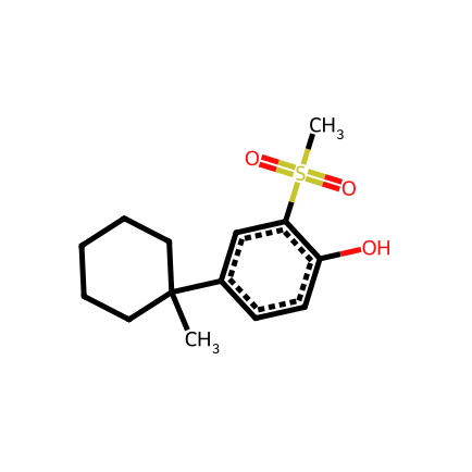 CC1(c2ccc(O)c(S(C)(=O)=O)c2)CCCCC1